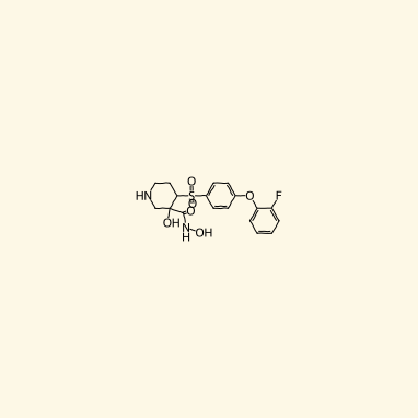 O=C(NO)C1(O)CNCCC1S(=O)(=O)c1ccc(Oc2ccccc2F)cc1